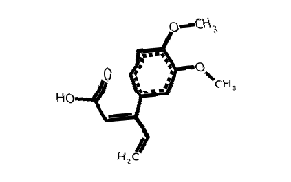 C=C/C(=C/C(=O)O)c1ccc(OC)c(OC)c1